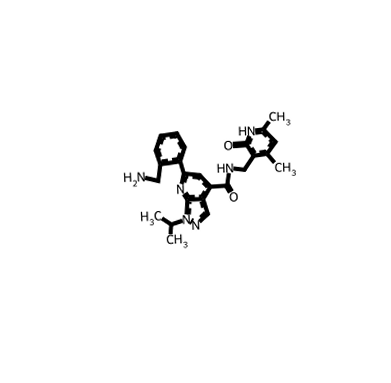 Cc1cc(C)c(CNC(=O)c2cc(-c3ccccc3CN)nc3c2cnn3C(C)C)c(=O)[nH]1